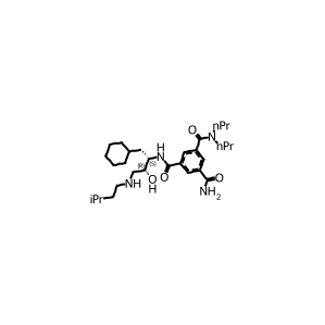 CCCN(CCC)C(=O)c1cc(C(N)=O)cc(C(=O)N[C@@H](CC2CCCCC2)[C@H](O)CNCCC(C)C)c1